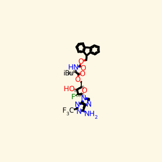 CC[C@@H](C)[C@@H](NC(=O)OCC1c2ccccc2-c2ccccc21)C(=O)OC[C@H]1O[C@@H](n2cnc3c(N)nc(C(F)(F)F)nc32)[C@@H](F)[C@@H]1O